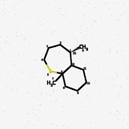 C[C@H]1CCCSC2(C)CCCCC12